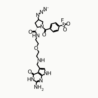 [N-]=[N+]=NC1C[C@@H](C(=O)NCCOCCNCc2c[nH]c3nc(N)[nH]c(=O)c23)N(C(=O)c2ccc(S(=O)(=O)F)cc2)C1